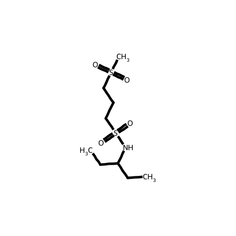 CCC(CC)NS(=O)(=O)CCCS(C)(=O)=O